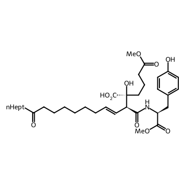 CCCCCCCC(=O)CCCCCC/C=C/[C@H](C(=O)N[C@@H](Cc1ccc(O)cc1)C(=O)OC)[C@@](O)(CCCC(=O)OC)C(=O)O